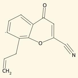 C=CCc1[c]ccc2c(=O)cc(C#N)oc12